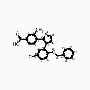 Cc1cc(C(=O)O)ccc1-c1sccc1-c1cc(Cl)ccc1OCc1ccccc1